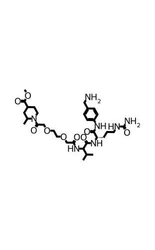 COC(=O)C1CCN(C(=O)COCCOCC(=O)NC(C(=O)N[C@@H](CCCNC(N)=O)C(=O)Nc2ccc(CN)cc2)C(C)C)C(C)C1